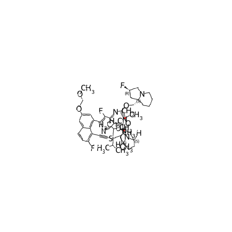 COCOc1cc(-c2ncc3c(N4C[C@@H]5CC[C@@H](C4)N5C(=O)OC(C)(C)C)nc(OC[C@@]45CCCCN4C[C@H](F)C5)nc3c2F)c2c(C#C[Si](C(C)C)(C(C)C)C(C)C)c(F)ccc2c1